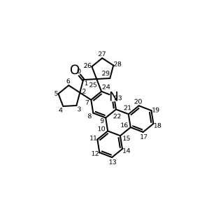 O=C1C2(CCCC2)c2cc3c4ccccc4c4ccccc4c3nc2C12CCCC2